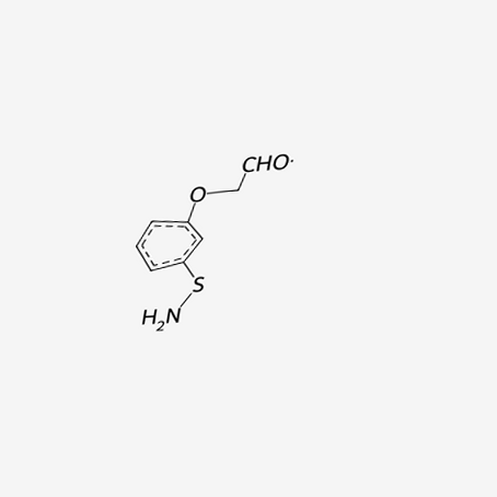 NSc1cccc(OC[C]=O)c1